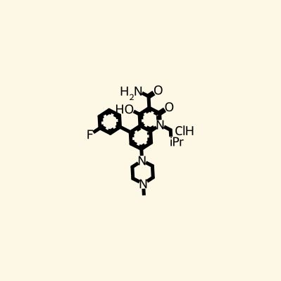 CC(C)Cn1c(=O)c(C(N)=O)c(O)c2c(-c3cccc(F)c3)cc(N3CCN(C)CC3)cc21.Cl